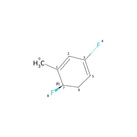 CC1=CC(F)=CC[C@H]1F